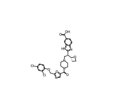 O=C(O)c1ccc2nc([C@H](CN3CCN(C(=O)c4cnc(COc5ccc(Cl)cc5Cl)o4)CC3)[C@H]3CCO3)[nH]c2c1